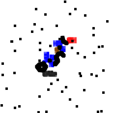 COc1cccc(Nc2nccc(-c3sc(NC(C)CO)nc3C)n2)c1